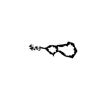 [I][Mg][c]1ccc2ccccc2c1